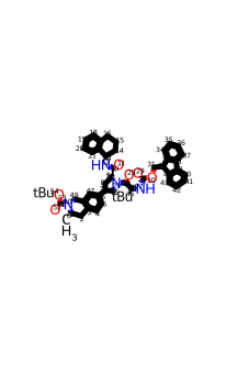 CC1Cc2ccc(C3C[C@@H](C(=O)N[C@@H]4CCCc5ccccc54)N(C(=O)[C@@H](NC(=O)OCC4c5ccccc5-c5ccccc54)C(C)(C)C)C3)cc2CN1C(=O)OC(C)(C)C